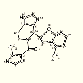 O=C(c1ocnc1C(F)(F)F)N1CCc2[nH]cnc2[C@H]1c1cc2c(C(F)(F)F)cccc2o1